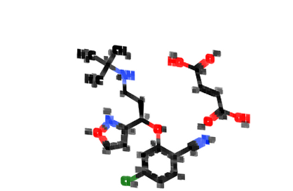 CC(C)(C)NCC[C@@H](Oc1cc(Cl)ccc1C#N)c1ccon1.O=C(O)C=CC(=O)O